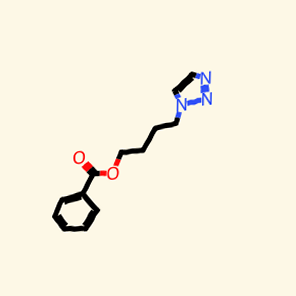 O=C(OCCCCn1ccnn1)c1ccccc1